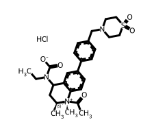 CCN(C(=O)[O-])C1C[C@H](C)[N@+](C)(C(C)=O)c2ccc(-c3ccc(CN4CCS(=O)(=O)CC4)cc3)cc21.Cl